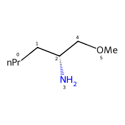 CCCC[C@@H](N)COC